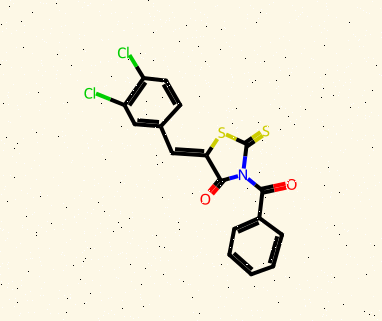 O=C1/C(=C/c2ccc(Cl)c(Cl)c2)SC(=S)N1C(=O)c1ccccc1